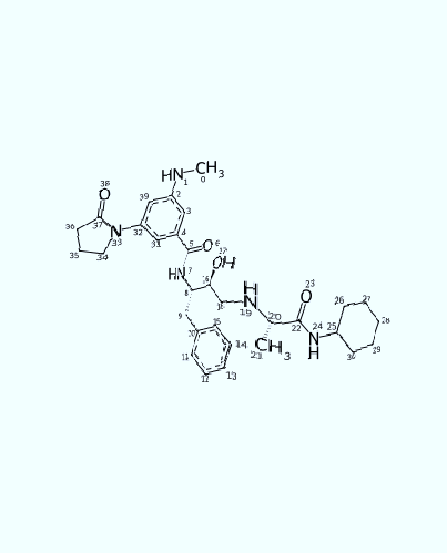 CNc1cc(C(=O)N[C@@H](Cc2ccccc2)[C@@H](O)CN[C@@H](C)C(=O)NC2CCCCC2)cc(N2CCCC2=O)c1